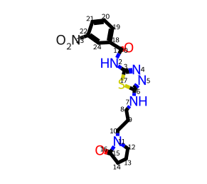 O=C(Nc1nnc(NCCCN2CCCC2=O)s1)c1cccc([N+](=O)[O-])c1